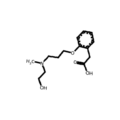 CN(CCO)CCCOc1ccccc1CC(=O)O